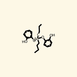 CCC[CH2][Sn]([CH2]CCC)([O]c1ccccc1O)[O]c1ccccc1O